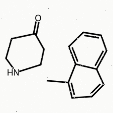 Cc1cccc2ccccc12.O=C1CCNCC1